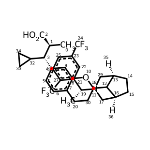 C[C@H](C(=O)O)[C@H](c1ccc2c(c1)OC(C1[C@@H]3CC[C@H]1CN([C@H](C)c1cc(C(F)(F)F)ccc1C(F)(F)F)C3)CC2)C1CC1